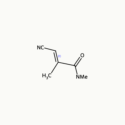 CNC(=O)/C(C)=C/C#N